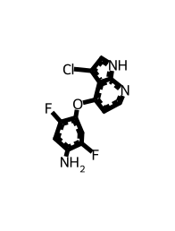 Nc1cc(F)c(Oc2ccnc3[nH]cc(Cl)c23)cc1F